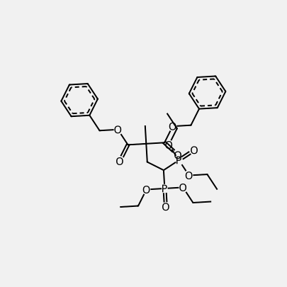 CCOP(=O)(OCC)C(CC(C)(C(=O)OCc1ccccc1)C(=O)OCc1ccccc1)P(=O)(OCC)OCC